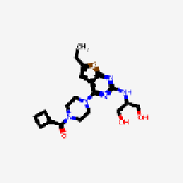 CCc1cc2c(N3CCN(C(=O)C4CCC4)CC3)nc(NC(CO)CO)nc2s1